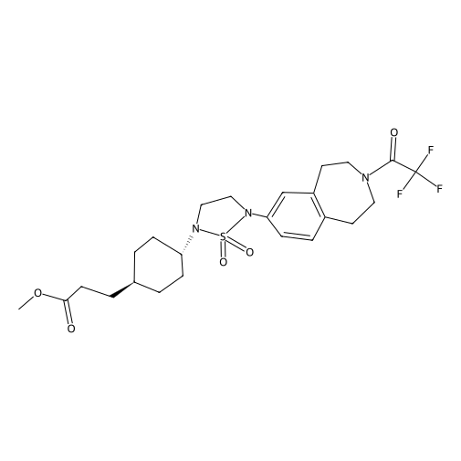 COC(=O)CC[C@H]1CC[C@H](N2CCN(c3ccc4c(c3)CCN(C(=O)C(F)(F)F)CC4)S2(=O)=O)CC1